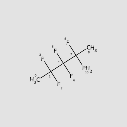 CC(F)(F)C(F)(F)C(C)(F)P